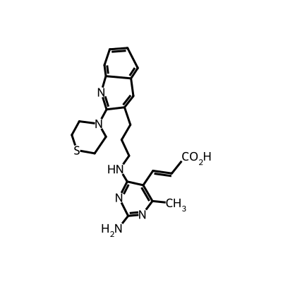 Cc1nc(N)nc(NCCCc2cc3ccccc3nc2N2CCSCC2)c1/C=C/C(=O)O